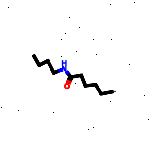 [CH2]CCCCC(=O)NCCCC